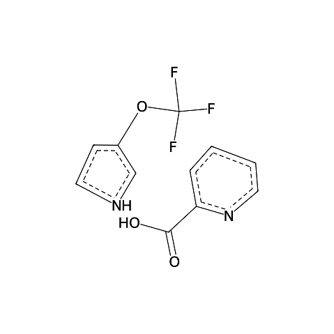 FC(F)(F)Oc1cc[nH]c1.O=C(O)c1ccccn1